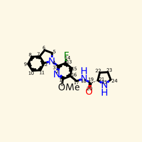 COc1nc(N2CCc3ccccc32)c(F)cc1CNC(=O)[C@@H]1CCCN1